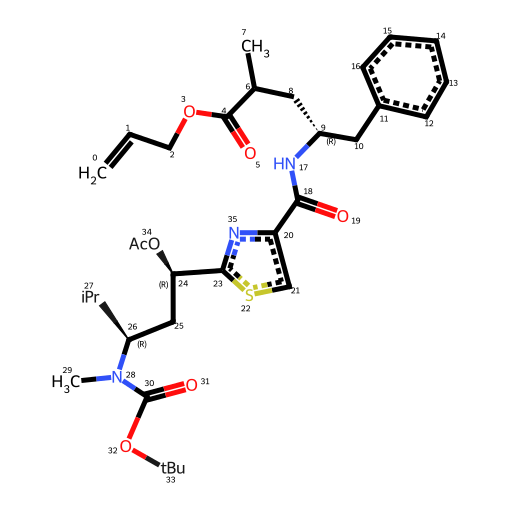 C=CCOC(=O)C(C)C[C@H](Cc1ccccc1)NC(=O)c1csc([C@@H](C[C@H](C(C)C)N(C)C(=O)OC(C)(C)C)OC(C)=O)n1